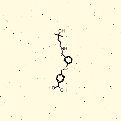 CC(C)(O)CCCNCc1cccc(OCc2ccc(C(O)O)cc2)c1